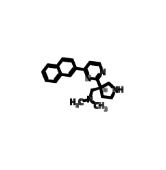 CN(C)C[C@]1(c2nccc(-c3ccc4ccccc4c3)n2)CCNC1